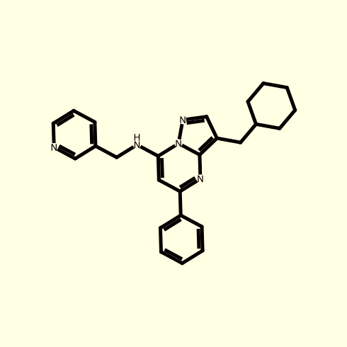 c1ccc(-c2cc(NCc3cccnc3)n3ncc(CC4CCCCC4)c3n2)cc1